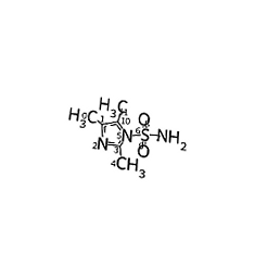 Cc1nc(C)n(S(N)(=O)=O)c1C